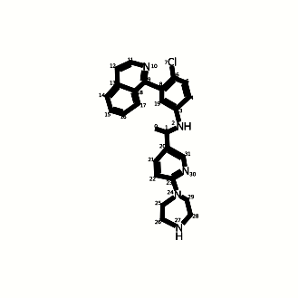 CC(Nc1ccc(Cl)c(-c2nccc3ccccc23)c1)c1ccc(N2CCNCC2)nc1